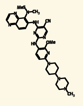 COc1nc(N2CCC(N3CCN(C)CC3)CC2)ccc1Nc1ncc(C#N)c(Nc2ccc3nccnc3c2N(C)SC)n1